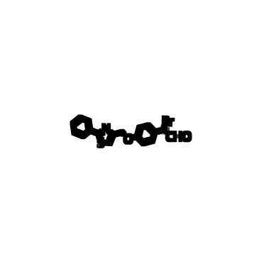 O=C[C@@H](Br)c1ccc(OCc2csc(-c3ccccc3)n2)cc1